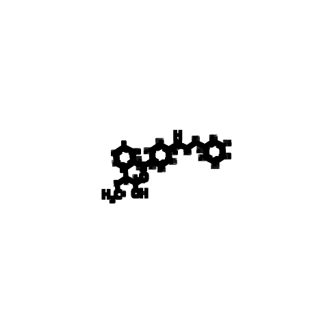 CCC(C(=O)O)c1ccccc1Sc1ccc(NCCc2ccccc2)cc1